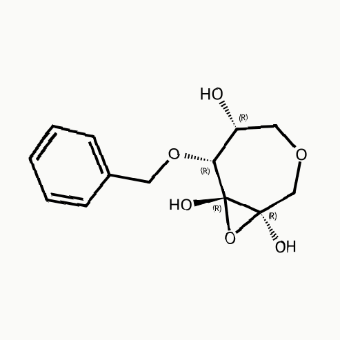 O[C@@H]1COC[C@@]2(O)O[C@]2(O)[C@@H]1OCc1ccccc1